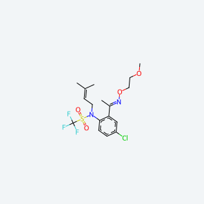 COCCO/N=C(\C)c1cc(Cl)ccc1N(CC=C(C)C)S(=O)(=O)C(F)(F)F